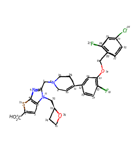 O=C(O)c1cc2c(nc(CN3CC=C(c4ccc(F)c(OCc5ccc(Cl)cc5F)c4)CC3)n2C[C@@H]2CCO2)s1